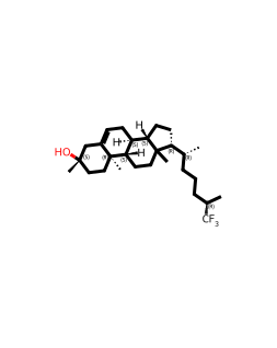 C[C@H](CCC[C@@H](C)C(F)(F)F)[C@H]1CC[C@H]2[C@@H]3CC=C4C[C@@](C)(O)CC[C@]4(C)[C@H]3CCC12C